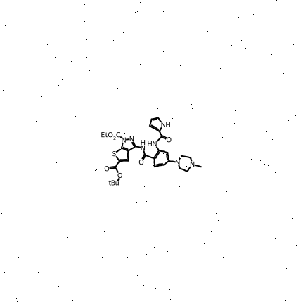 CCOC(=O)n1nc(NC(=O)c2ccc(N3CCN(C)CC3)cc2NC(=O)c2ccc[nH]2)c2cc(C(=O)OC(C)(C)C)sc21